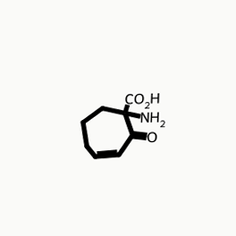 NC1(C(=O)O)CCCC=CC1=O